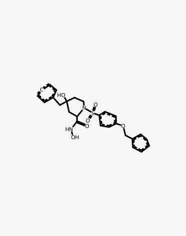 O=C(NO)C1CC(O)(Cc2ccccc2)CCN1S(=O)(=O)c1ccc(OCc2ccccc2)cc1